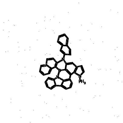 Pn1ccc2cc3c4c(c21)-c1cccc2c5ccccc5n(c12)B4c1c(ccc2ccccc12)N3c1ccc2ccccc2c1